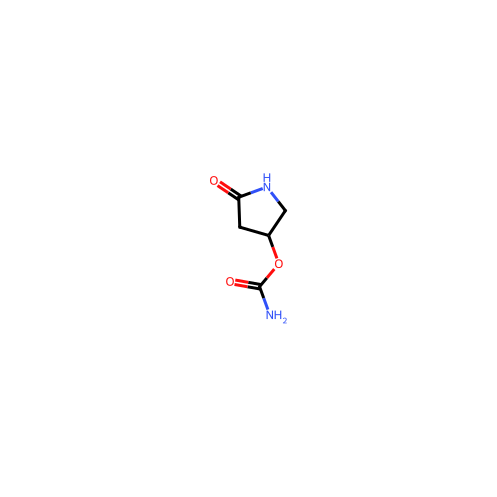 NC(=O)OC1CNC(=O)C1